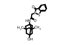 CC12CC3(C)CC(O)(C1)CC(NC(=O)Cn1sc4ccccc4c1=O)(C2)C3